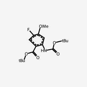 COc1cc(NC(=O)OC(C)(C)C)c(C(=O)OC(C)(C)C)cc1F